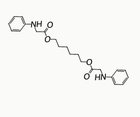 O=C(CNc1ccccc1)OCCCCCCOC(=O)CNc1ccccc1